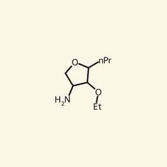 CCCC1OCC(N)C1OCC